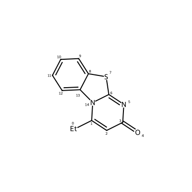 CCc1cc(=O)nc2sc3ccccc3n12